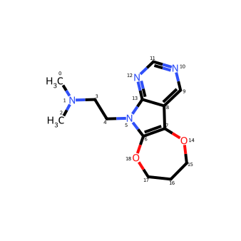 CN(C)CCn1c2c(c3cncnc31)OCCCO2